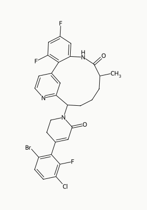 CC1CCCC(N2CCC(c3c(Br)ccc(Cl)c3F)=CC2=O)c2cc(ccn2)-c2c(F)cc(F)cc2NC1=O